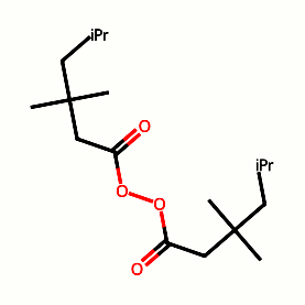 CC(C)CC(C)(C)CC(=O)OOC(=O)CC(C)(C)CC(C)C